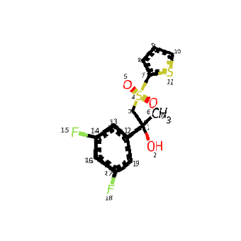 CC(O)(CS(=O)(=O)c1cccs1)c1cc(F)cc(F)c1